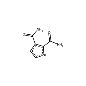 NC(=O)c1cc[nH]c1C(N)=O